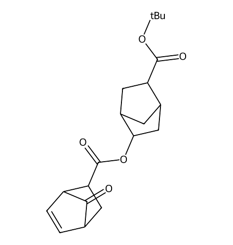 CC(C)(C)OC(=O)C1CC2CC1CC2OC(=O)C1CC2C=CC1C2=O